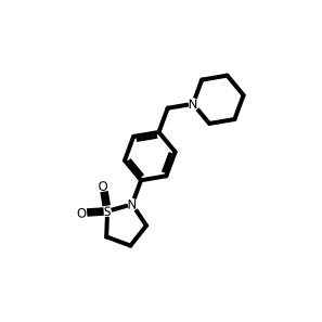 O=S1(=O)CCCN1c1ccc(CN2CCCCC2)cc1